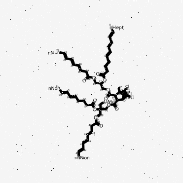 CCCCCCC/C=C/CC/C=C/CCCC(=O)OC(COC(=O)CCC/C=C/C=C/CCCCCCCCC)COC(=O)C1C(C(=O)OCC(COC)(COC(=O)CCC/C=C/C=C/CCCCCCCCC)OC(=O)CCC/C=C/C=C/CCCCCCCCC)C2C(Cl)=C(Cl)C1(C)C2(Cl)Cl